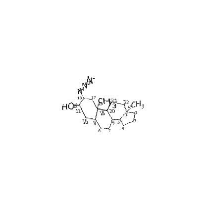 CC12CCCC1C1CCC3CC(O)C(N=[N+]=[N-])CC3(C)C1CC2